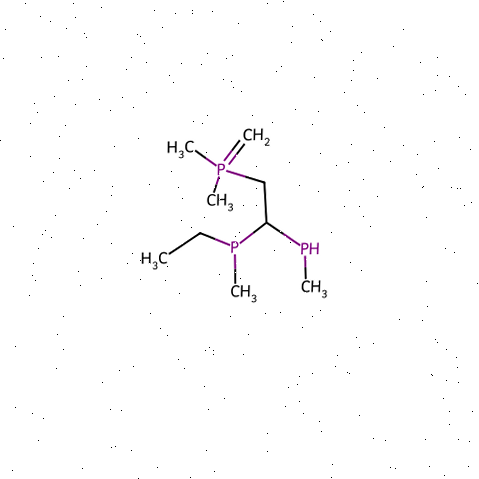 C=P(C)(C)CC(PC)P(C)CC